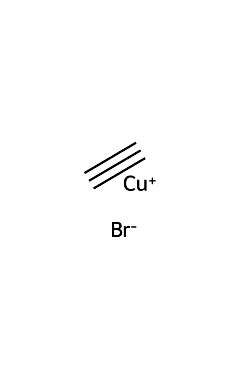 C#C.[Br-].[Cu+]